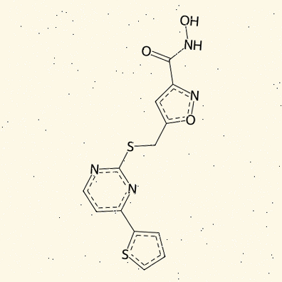 O=C(NO)c1cc(CSc2nccc(-c3cccs3)n2)on1